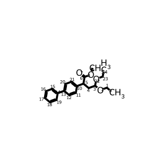 CCOC(CC(C(=O)OC)c1ccc(-c2ccccc2)cc1)OCC